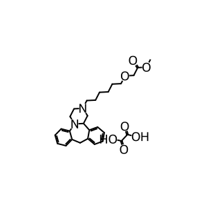 COC(=O)COCCCCCCN1CCN2c3ccccc3Cc3ccccc3C2C1.O=C(O)C(=O)O